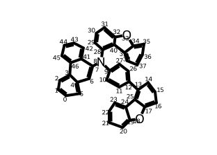 c1ccc2c(c1)cc(N(c1ccc(-c3cccc4oc5ccccc5c34)cc1)c1cccc3oc4ccccc4c13)c1ccccc12